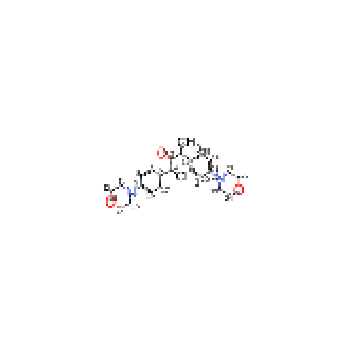 CC(C(=O)C(C)c1ccc(N2CCOCC2)cc1)c1ccc(N2CCOCC2)cc1